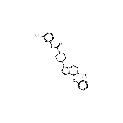 Cc1ncccc1Oc1ncnc2c1ccn2C1CCN(C(=O)Oc2cccc(C(F)(F)F)c2)CC1